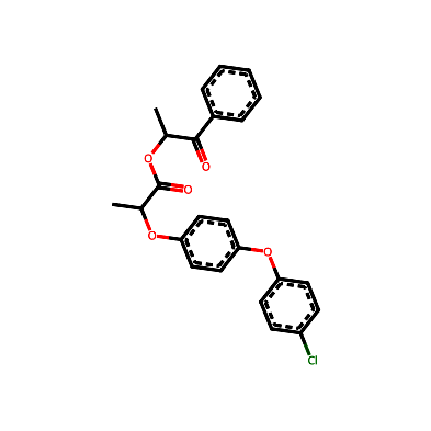 CC(Oc1ccc(Oc2ccc(Cl)cc2)cc1)C(=O)OC(C)C(=O)c1ccccc1